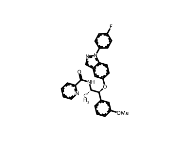 COc1cccc([C@H](Oc2ccc3c(cnn3-c3ccc(F)cc3)c2)[C@H](C)NC(=O)c2ccccn2)c1